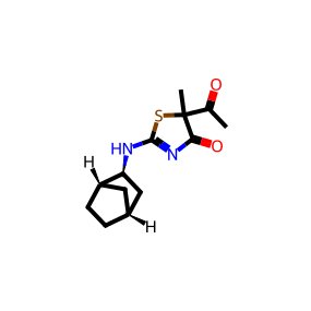 CC(=O)C1(C)SC(N[C@H]2C[C@@H]3CC[C@H]2C3)=NC1=O